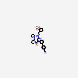 COc1ccccc1CCNc1cc(C(=O)N2CCC/C2=C\N2CCCC2)c2cc(-c3ccc(C#N)cc3)ccc2n1